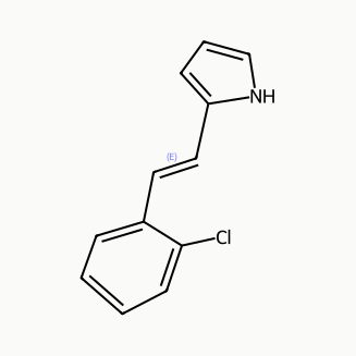 Clc1ccccc1/C=C/c1ccc[nH]1